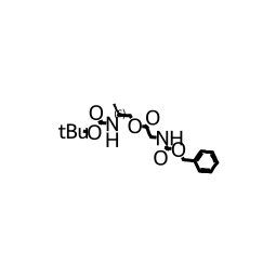 C[C@@H](COC(=O)CNC(=O)OCc1ccccc1)NC(=O)OC(C)(C)C